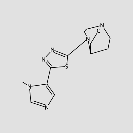 Cn1cncc1-c1nnc(N2CCN3CCC2CC3)s1